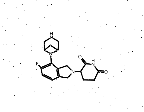 O=C1CCC(N2Cc3ccc(F)c(N4C5CNCC4C5)c3C2)C(=O)N1